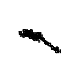 CC1(C)C(=O)CC[C@]2(C)[C@H]3C(=O)C=C4C(CC[C@@]5(C)CC[C@](C)(C(=O)NCCOCCOCCOCCOCCC(=O)O)C[C@H]45)[C@]3(C)CC[C@@H]12